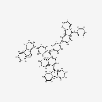 c1ccc(-n2c3ccccc3c3cc(-c4ccc(N(c5ccc(-c6cccc7c6oc6ccccc67)cc5)c5ccc(-n6c7ccccc7c7ccccc76)c6ccccc56)cc4)ccc32)cc1